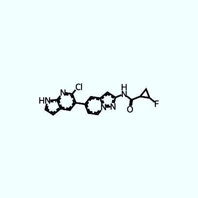 O=C(Nc1cc2cc(-c3cc4cc[nH]c4nc3Cl)ccn2n1)C1CC1F